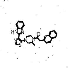 CC1CN(c2scnc2-c2nc3ccccc3[nH]2)CCN1C(=O)Cc1ccc2ccccc2c1